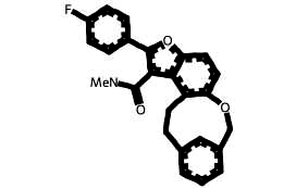 CNC(=O)c1c(-c2ccc(F)cc2)oc2ccc3c(c12)CCc1cccc(c1)CO3